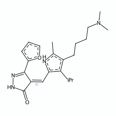 Cc1[nH]c(/C=C2/C(=O)NN=C2c2ccco2)c(C(C)C)c1CCCCN(C)C